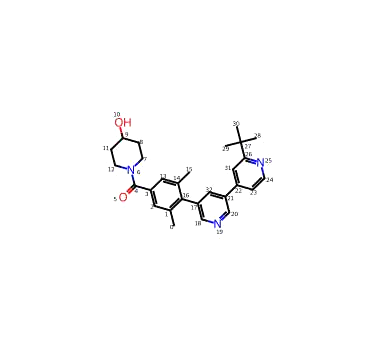 Cc1cc(C(=O)N2CCC(O)CC2)cc(C)c1-c1cncc(-c2ccnc(C(C)(C)C)c2)c1